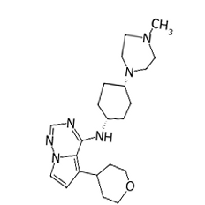 CN1CCN([C@H]2CC[C@@H](Nc3ncnn4ccc(C5CCOCC5)c34)CC2)CC1